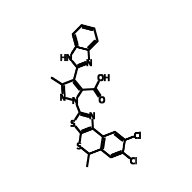 Cc1nn(-c2nc3c(s2)SC(C)c2cc(Cl)c(Cl)cc2-3)c(C(=O)O)c1-c1nc2ccccc2[nH]1